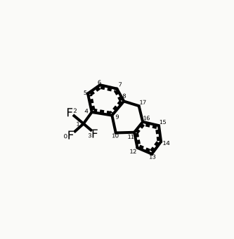 FC(F)(F)c1cccc2c1Cc1ccccc1C2